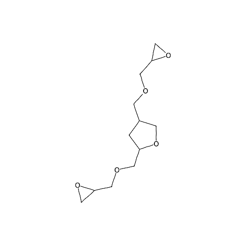 C(OCC1CO1)C1COC(COCC2CO2)C1